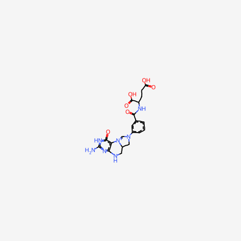 Nc1nc2c(c(=O)[nH]1)[N+]1=CN(c3cccc(C(=O)NC(CCC(=O)O)C(=O)O)c3)CC1CN2